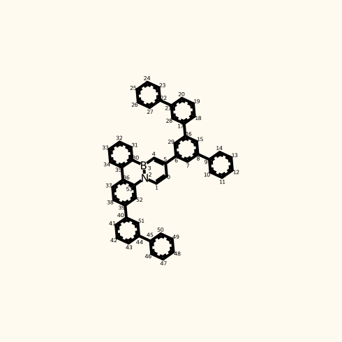 C1=CN2B(C=C1c1cc(-c3ccccc3)cc(-c3cccc(-c4ccccc4)c3)c1)c1ccccc1-c1ccc(-c3cccc(-c4ccccc4)c3)cc12